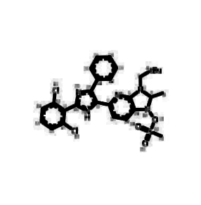 CC1N(CC(C)(C)C)c2nc(-c3[nH]c(-c4c(Cl)cccc4Cl)nc3-c3ccccc3)ccc2N1OS(C)(=O)=O